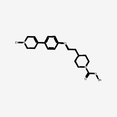 CCN1CC=C(c2ccc(OCCC3CCN(C(=O)OC(C)C)CC3)cc2)CC1